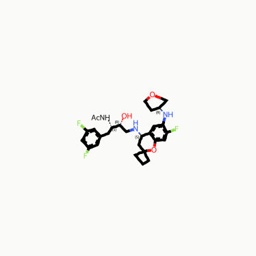 CC(=O)N[C@@H](Cc1cc(F)cc(F)c1)[C@H](O)CN[C@H]1CC2(CCC2)Oc2cc(F)c(N[C@@H]3CCOC3)cc21